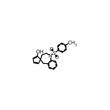 Cc1ccc(S(=O)(=O)N2CCC3(C=CC=C3O)Cc3ccccc32)cc1